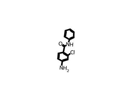 Nc1ccc(C(=O)Nc2ccccc2)c(Cl)c1